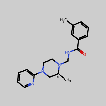 Cc1cccc(C(=O)NCN2CCN(c3ccccn3)C[C@@H]2C)c1